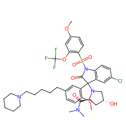 COc1ccc(S(=O)(=O)N2C(=O)C(c3cc(CCCCCN4CCCCC4)ccc3OC)(N3C[C@H](O)C[C@H]3C(=O)N(C)C)c3cc(Cl)ccc32)c(OC(F)(F)F)c1